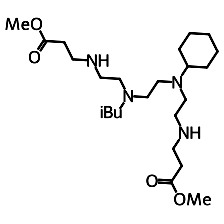 CCC(C)N(CCNCCC(=O)OC)CCN(CCNCCC(=O)OC)C1CCCCC1